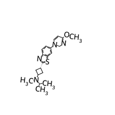 COC1=NCN(c2ccc3nc([C@H]4C[C@H](N(C)C(C)C)C4)sc3c2)C=C1